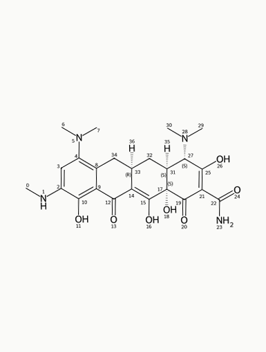 CNc1cc(N(C)C)c2c(c1O)C(=O)C1=C(O)[C@]3(O)C(=O)C(C(N)=O)=C(O)[C@@H](N(C)C)[C@@H]3C[C@@H]1C2